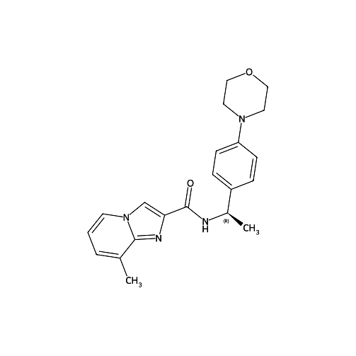 Cc1cccn2cc(C(=O)N[C@H](C)c3ccc(N4CCOCC4)cc3)nc12